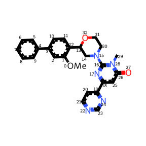 COc1cc(-c2ccccc2)ccc1C1CN(c2nc(-c3ccncn3)cc(=O)n2C)CCO1